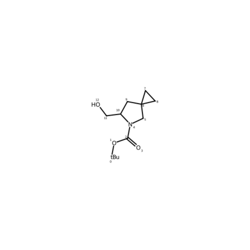 CC(C)(C)OC(=O)N1CC2(CC2)CC1CO